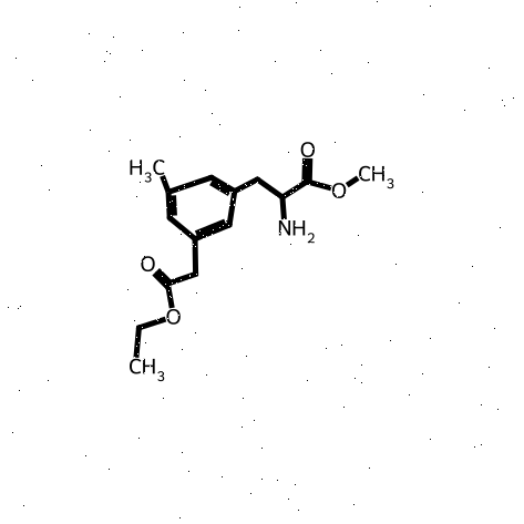 CCOC(=O)Cc1cc(C)cc(CC(N)C(=O)OC)c1